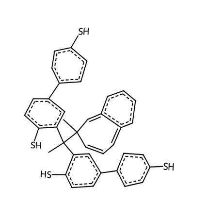 CC1(C(C)(c2cc(-c3ccc(S)cc3)ccc2S)c2cc(-c3ccc(S)cc3)ccc2S)C=CC=c2ccccc2=C1